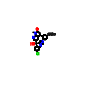 COc1cccc(-c2cc(=O)n(C)c3ncc([C@](O)(c4ccc(Cl)cc4)c4cncn4C)cc23)c1